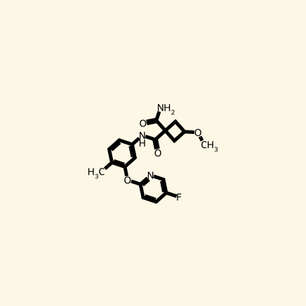 COC1CC(C(N)=O)(C(=O)Nc2ccc(C)c(Oc3ccc(F)cn3)c2)C1